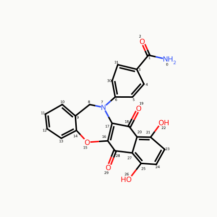 NC(=O)c1ccc(N2Cc3ccccc3OC3=C2C(=O)c2c(O)ccc(O)c2C3=O)cc1